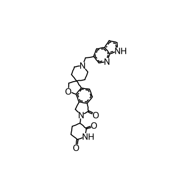 O=C1CCC(N2Cc3c(ccc4c3OCC43CCN(Cc4cnc5[nH]ccc5c4)CC3)C2=O)C(=O)N1